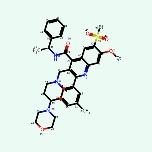 CCOc1cc2nc(-c3cccc(C(F)(F)F)c3)c(CN3CCC(N4CCOCC4)CC3)c(C(=O)N[C@H](c3ccccc3)C(F)(F)F)c2cc1S(=O)(=O)CC